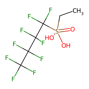 CCS(=O)(O)(O)C(F)(F)C(F)(F)C(F)(F)C(F)(F)F